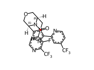 O=C(c1ccnc(C(F)(F)F)c1F)N1[C@H]2COC[C@@H]1c1nnc(-c3cc(C(F)(F)F)ccn3)n1C2